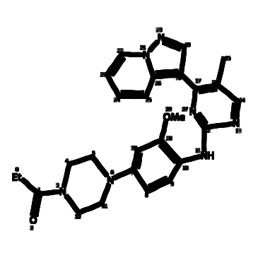 CCC(=O)N1CCN(c2ccc(Nc3ncc(C)c(-c4cnn5ccccc45)n3)c(OC)c2)CC1